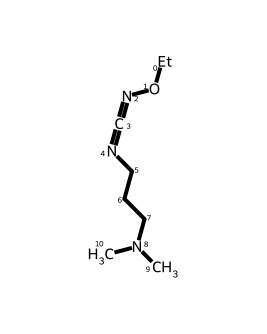 CCON=C=NCCCN(C)C